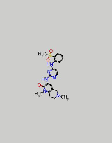 CN1CCc2c(cc(Nc3nccc(Nc4ccccc4S(C)(=O)=O)n3)c(=O)n2C)C1